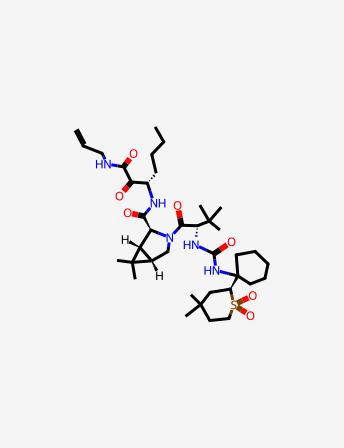 C=CCNC(=O)C(=O)[C@H](CCCC)NC(=O)[C@@H]1[C@@H]2[C@H](CN1C(=O)[C@@H](NC(=O)NC1([C@@H]3CC(C)(C)CCS3(=O)=O)CCCCC1)C(C)(C)C)C2(C)C